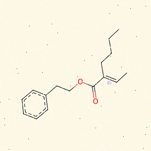 C/C=C(\CCCC)C(=O)OCCc1ccccc1